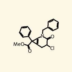 COC(=O)C1(c2ccccc2)C2=C1N(Cc1ccccc1)C(=O)C(Cl)C2